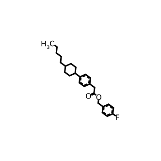 CCCCCC1CCC(c2ccc(CC(=O)OCc3ccc(F)cc3)cc2)CC1